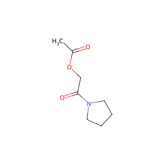 CC(=O)OCC(=O)N1CCCC1